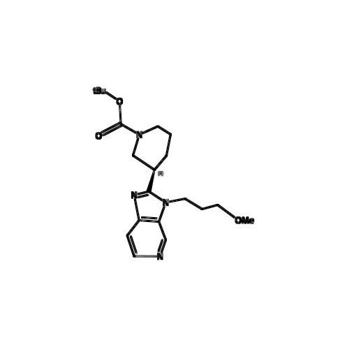 COCCCn1c([C@@H]2CCCN(C(=O)OC(C)(C)C)C2)nc2ccncc21